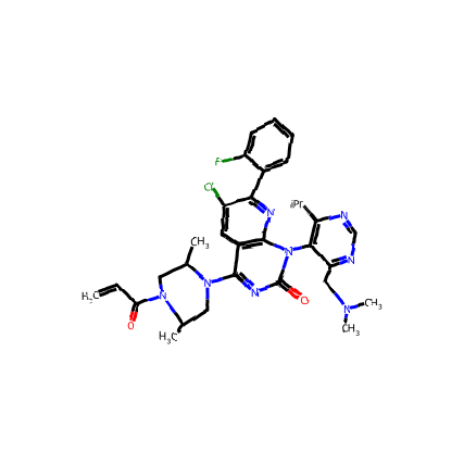 C=CC(=O)N1CC(C)N(c2nc(=O)n(-c3c(CN(C)C)ncnc3C(C)C)c3nc(-c4ccccc4F)c(Cl)cc23)CC1C